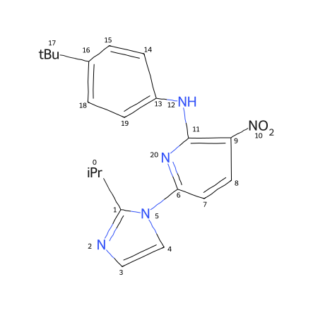 CC(C)c1nccn1-c1ccc([N+](=O)[O-])c(Nc2ccc(C(C)(C)C)cc2)n1